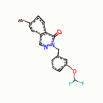 O=c1c2ccc(Br)cc2cnn1Cc1cccc(OC(F)F)c1